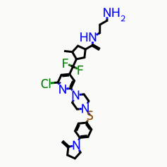 C=C(NCCCN)C1CC(C)C(C(F)(F)c2cc(Cl)nc(N3CCN(Sc4ccc(N5CCCC5=C)cc4)CC3)c2)C1